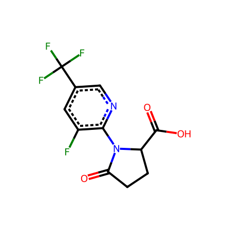 O=C(O)C1CCC(=O)N1c1ncc(C(F)(F)F)cc1F